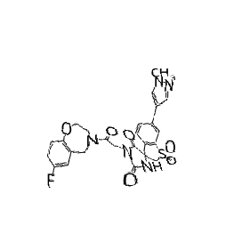 Cn1cc(-c2ccc3c(c2)S(=O)(=O)CC32NC(=O)N(CC(=O)N3CCOc4ccc(F)cc4C3)C2=O)cn1